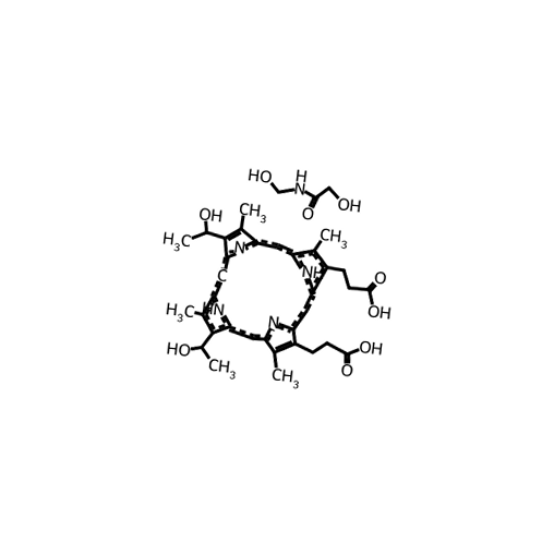 CC1=C(CCC(=O)O)c2cc3[nH]c(cc4nc(cc5[nH]c(cc1n2)c(C(C)O)c5C)C(C(C)O)=C4C)c(C)c3CCC(=O)O.O=C(CO)NCO